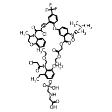 CC1COc2ccccc2N1C(=O)C(Cl)Cl.CCOC(=O)COC(=O)c1cc(Oc2ccc(C(F)(F)F)cc2Cl)ccc1[N+](=O)[O-].CCOCN(C(=O)CCl)c1c(C)cccc1CC.C[S+](C)C.O=C(O)CNCP(=O)([O-])O